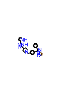 c1ccc(-c2nc3scnn3c2-c2ccc(CN3CCC(c4nnc(-c5ccc[nH]5)[nH]4)CC3)cc2)cc1